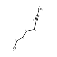 [CH2]C#CCCCCCl